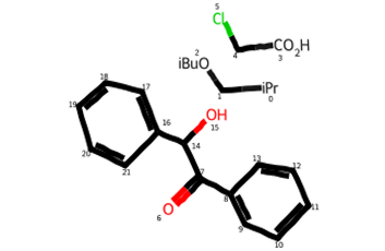 CC(C)COCC(C)C.O=C(O)CCl.O=C(c1ccccc1)C(O)c1ccccc1